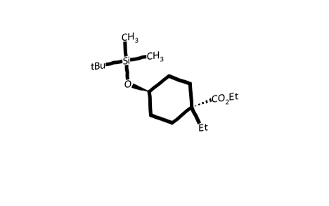 CCOC(=O)[C@]1(CC)CC[C@@H](O[Si](C)(C)C(C)(C)C)CC1